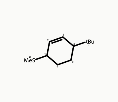 CSC1C=CC(C(C)(C)C)CC1